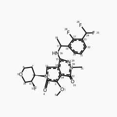 COc1c(=O)n([C@@H]2CCOC[C@@H]2F)cc2c(NC(C)c3cccc(C(F)F)c3F)nn(C)c(=O)c12